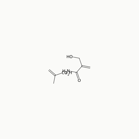 C=C(C)C(=O)O.C=C(CO)C(N)=O